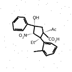 CC[C@]1(c2ccccc2C)[C@H]([N+](=O)[O-])[C@@](O)(c2ccccc2)C[C@@]1(C(C)=O)C(=O)O